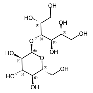 OC[C@@H](O)[C@@H](O)[C@H](O[C@H]1O[C@H](CO)[C@@H](O)[C@H](O)[C@H]1O)[C@H](O)CO